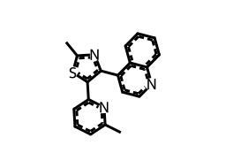 Cc1cccc(-c2sc(C)nc2-c2ccnc3ccccc23)n1